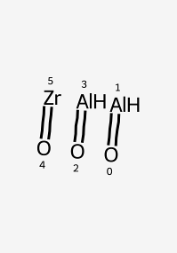 [O]=[AlH].[O]=[AlH].[O]=[Zr]